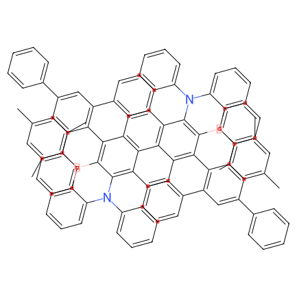 Cc1cc(C)c(B2c3ccccc3N(c3ccccc3)c3c2c(-c2c(-c4ccccc4)cc(-c4ccccc4)cc2-c2ccccc2)c2ccc4c5c(c(-c6c(-c7ccccc7)cc(-c7ccccc7)cc6-c6ccccc6)c6ccc3c2c64)B(c2c(C)cc(C)cc2C)c2ccccc2N5c2ccccc2)c(C)c1